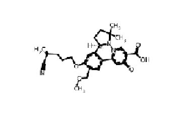 C=C(C#N)CCCOc1cc2c(cc1COC)-c1cc(=O)c(C(=O)O)cn1N1[C@@H]2CCC1(C)C